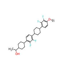 CCOc1ccc(C2CCC(c3ccc(C4CCC(C(C)O)CC4)c(F)c3F)CC2)c(F)c1F